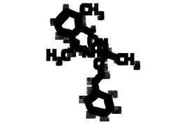 CC(=NOCc1c(C)cccc1N(C)N)OCCc1ccccc1